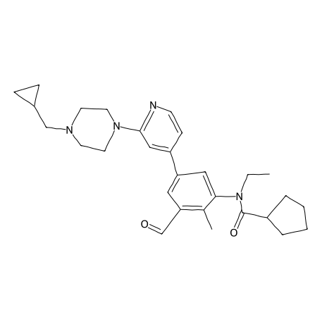 CCN(C(=O)C1CCCC1)c1cc(-c2ccnc(N3CCN(CC4CC4)CC3)c2)cc(C=O)c1C